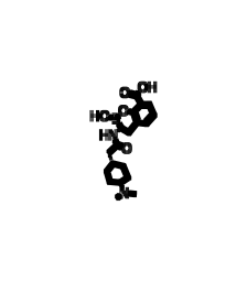 CN(C)[C@H]1CC[C@H](CC(=O)N[C@H]2Cc3cccc(C(=O)O)c3OB2O)CC1